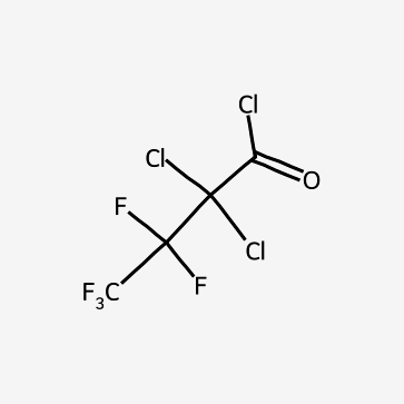 O=C(Cl)C(Cl)(Cl)C(F)(F)C(F)(F)F